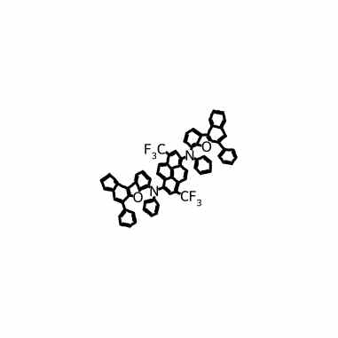 FC(F)(F)c1cc(N(c2ccccc2)c2cccc3c2oc2c(-c4ccccc4)cc4ccccc4c23)c2ccc3c(C(F)(F)F)cc(N(c4ccccc4)c4cccc5c4oc4c(-c6ccccc6)cc6ccccc6c45)c4ccc1c2c43